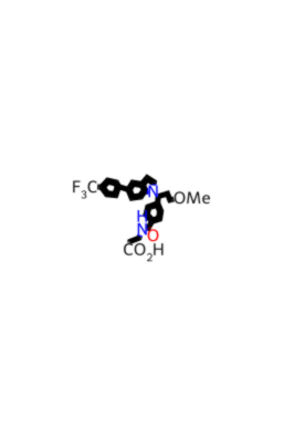 COCCC(c1ccc(C(=O)NCCC(=O)O)cc1)n1ccc2cc(-c3ccc(C(F)(F)F)cc3)ccc21